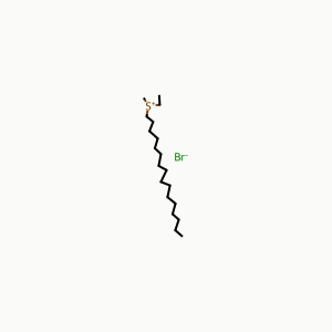 CCCCCCCCCCCCCCCC[S+](C)CC.[Br-]